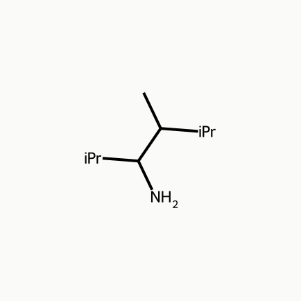 CC(C)C(C)C(N)C(C)C